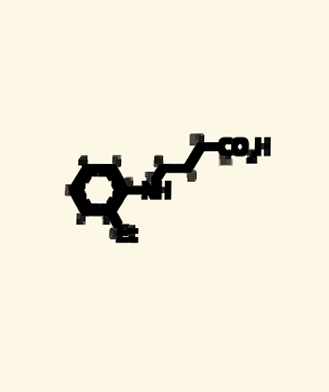 CCc1ccccc1NCCCC(=O)O